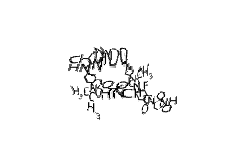 CNC(=O)COc1cc2cc(Nc3nc(N4CCC(O[C@H]5C[C@H](N6CCN(c7ccc8c(c7F)CN(C7CCC(=O)NC7=O)C8=O)C[C@H]6C)C5)CC4)ncc3Cl)ccc2n(C(C)C)c1=O